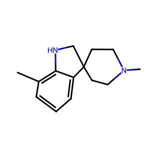 Cc1cccc2c1NCC21CCN(C)CC1